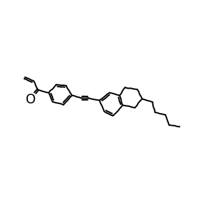 C=CC(=O)c1ccc(C#Cc2ccc3c(c2)CCC(CCCCC)C3)cc1